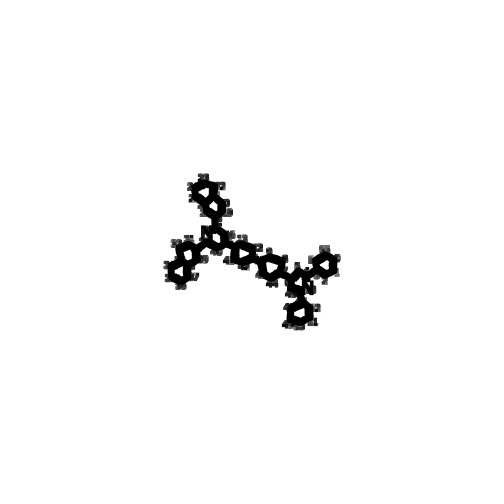 c1ccc(-c2cc(-c3ccc(-c4ccc(-c5cc(-c6ccc7ccccc7c6)nc(-c6ccc7ccccc7c6)c5)cc4)cc3)cc(-c3ccccc3)n2)cc1